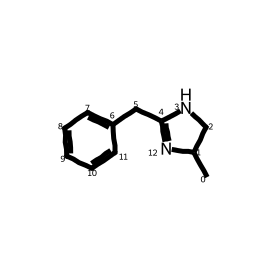 CC1CNC(Cc2ccccc2)=N1